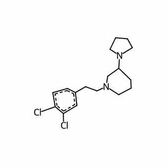 Clc1ccc(CCN2CCCC(N3CCCC3)C2)cc1Cl